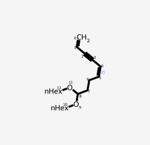 C=CC#C/C=C\CCC(OCCCCCC)OCCCCCC